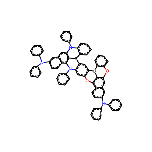 c1ccc(N(c2ccccc2)c2ccc3c4c5c(cc3c2)Oc2ccccc2B5c2cc3c(cc2O4)N(c2ccccc2)c2c4c(cc5cc(N(c6ccccc6)c6ccccc6)ccc25)N(c2ccccc2)c2ccccc2B34)cc1